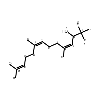 [CH2]C(F)(F)C(O)C=C(C)CCC=C(C)CCC=C(C)C